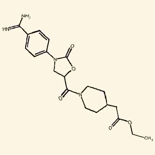 CCOC(=O)CC1CCN(C(=O)C2CN(c3ccc(C(=N)N)cc3)C(=O)O2)CC1